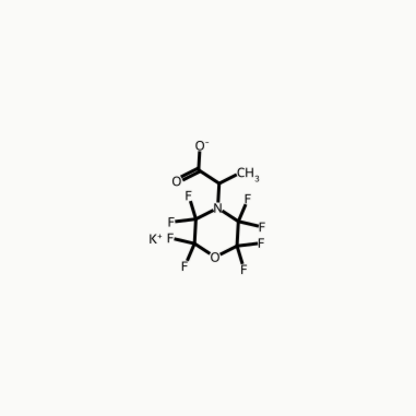 CC(C(=O)[O-])N1C(F)(F)C(F)(F)OC(F)(F)C1(F)F.[K+]